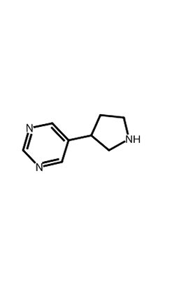 c1ncc(C2CCNC2)cn1